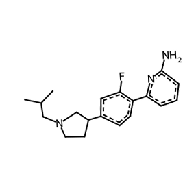 CC(C)CN1CCC(c2ccc(-c3cccc(N)n3)c(F)c2)C1